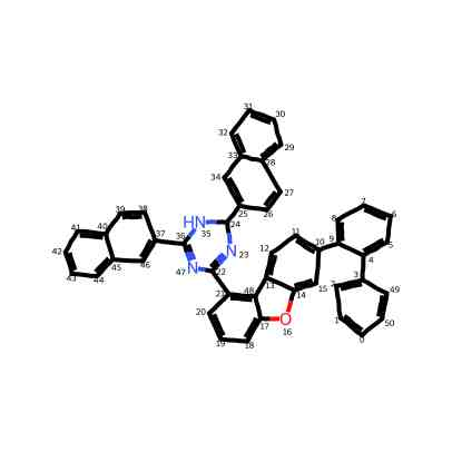 c1ccc(-c2ccccc2-c2ccc3c(c2)oc2cccc(C4=NC(c5ccc6ccccc6c5)NC(c5ccc6ccccc6c5)=N4)c23)cc1